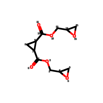 O=C(OCC1CO1)C1CC1C(=O)OCC1CO1